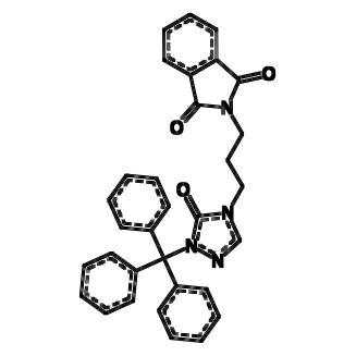 O=C1c2ccccc2C(=O)N1CCCn1cnn(C(c2ccccc2)(c2ccccc2)c2ccccc2)c1=O